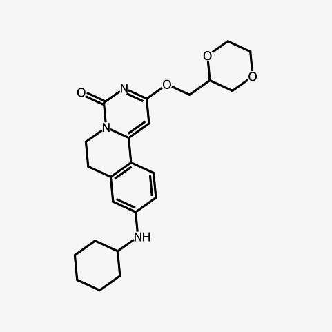 O=c1nc(OCC2COCCO2)cc2n1CCc1cc(NC3CCCCC3)ccc1-2